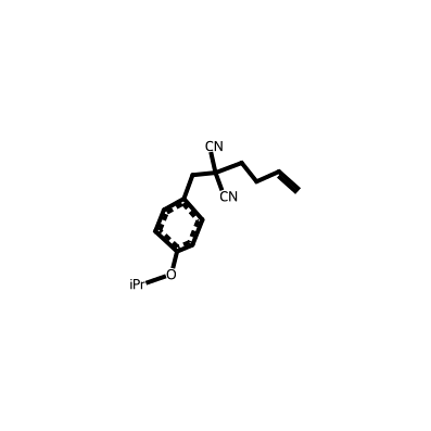 C=CCCC(C#N)(C#N)Cc1ccc(OC(C)C)cc1